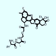 CC[C@@]1(O)C(=O)OCc2c1cc1n(c2=O)Cc2c-1nc1cc(F)c(C)c3c1c2[C@@H](NC(=O)COCNC(=O)[C@H](C)NC(=O)[C@@H](N)C(C)C)CC3